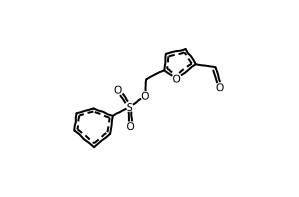 O=Cc1ccc(COS(=O)(=O)c2ccccc2)o1